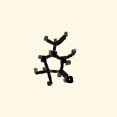 C=C(C)N1SC(C)(C)C(=O)N1C